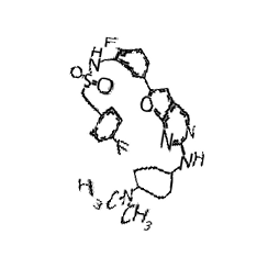 CN(C)C1CCC(Nc2ncc3cc(-c4ccc(F)c(NS(=O)(=O)Cc5ccc(F)cc5)c4)oc3n2)CC1